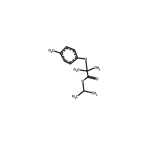 Cc1ccc(OC(C)(C)C(=O)OC(C)C)cc1